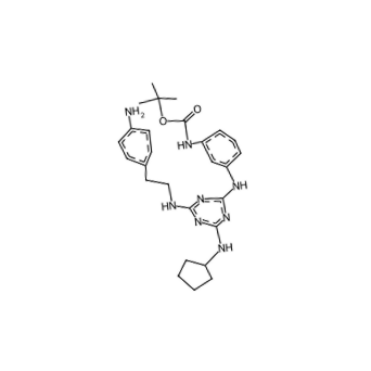 CC(C)(C)OC(=O)Nc1cccc(Nc2nc(NCCc3ccc(N)cc3)nc(NC3CCCC3)n2)c1